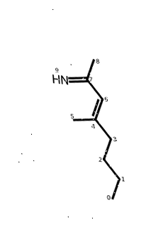 CCCC/C(C)=C/C(C)=N